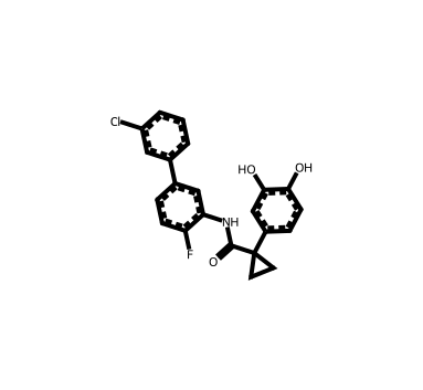 O=C(Nc1cc(-c2cccc(Cl)c2)ccc1F)C1(c2ccc(O)c(O)c2)CC1